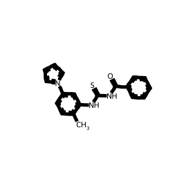 Cc1ccc(-n2cccc2)cc1NC(=S)NC(=O)c1ccccc1